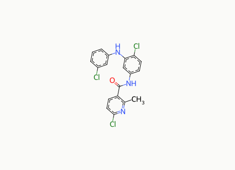 Cc1nc(Cl)ccc1C(=O)Nc1ccc(Cl)c(Nc2cccc(Cl)c2)c1